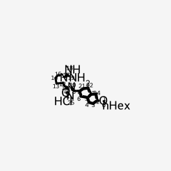 CCCCCCOc1ccc2cc(-c3noc(C4CCCN4C(=N)N)n3)ccc2c1.Cl